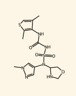 Cc1csc(C)c1NC(=O)NS(=O)(=O)N(c1cnn(C)c1)C1COCN1